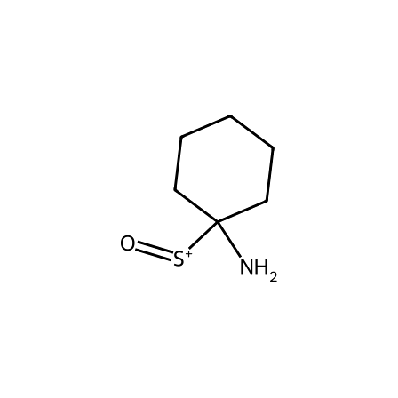 NC1([S+]=O)CCCCC1